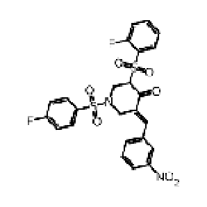 O=C1C(=Cc2cccc([N+](=O)[O-])c2)CN(S(=O)(=O)c2ccc(F)cc2)CC1S(=O)(=O)c1ccccc1F